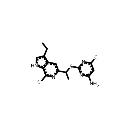 CCc1c[nH]c2c(Cl)nc(C(C)Sc3nc(N)cc(Cl)n3)cc12